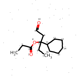 CCC(=O)OC(CC)(CC=O)C1CCCCC1